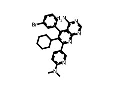 CN(C)c1ccc(-c2nc3ncnc(N)c3c(-c3cccc(Br)c3)c2C2CCCCC2)cn1